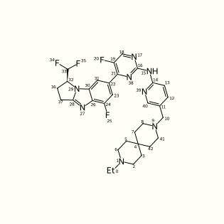 CCN1CCC2(CC1)CCN(Cc1ccc(Nc3ncc(F)c(-c4cc(F)c5nc6n(c5c4)[C@H](C(F)F)CC6)n3)nc1)CC2